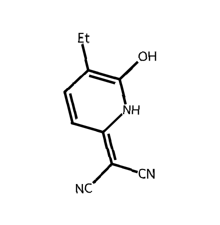 CCC1=C(O)NC(=C(C#N)C#N)C=C1